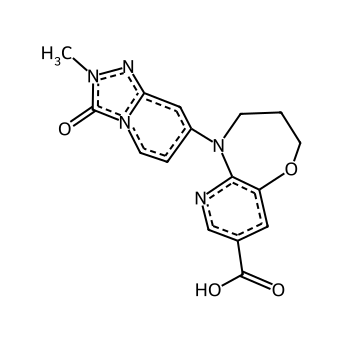 Cn1nc2cc(N3CCCOc4cc(C(=O)O)cnc43)ccn2c1=O